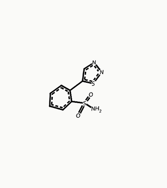 NS(=O)(=O)c1ccccc1-c1cnns1